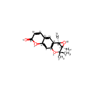 CC1(C)Oc2cc3oc(=O)ccc3cc2[C@H]2O[C@H]21